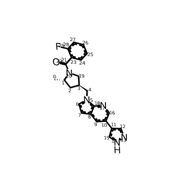 C[C@H]1C[C@H](Cn2ccc3cc(-c4cn[nH]c4)cnc32)CN1C(=O)c1ccccc1F